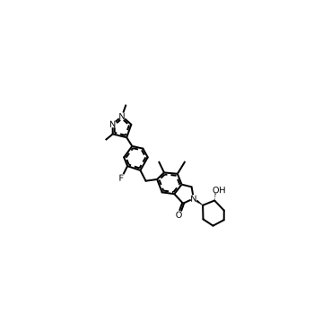 Cc1nn(C)cc1-c1ccc(Cc2cc3c(c(C)c2C)CN([C@@H]2CCCC[C@H]2O)C3=O)c(F)c1